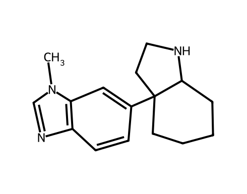 Cn1cnc2ccc(C34CCCCC3NCC4)cc21